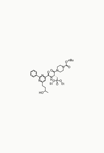 CCCCOC(=O)N1CCN(C(=O)[C@H](CP(=O)(OCC)OCC)NC(=O)c2cc(CCC(C)O)nc(-c3ccccc3)n2)CC1